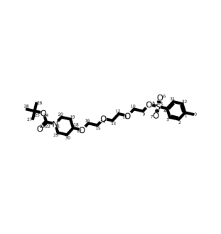 Cc1ccc(S(=O)(=O)OCCOCCOCCOC2CCN(C(=O)OC(C)(C)C)CC2)cc1